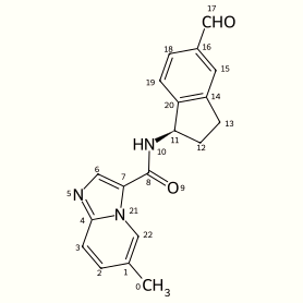 Cc1ccc2ncc(C(=O)N[C@@H]3CCc4cc(C=O)ccc43)n2c1